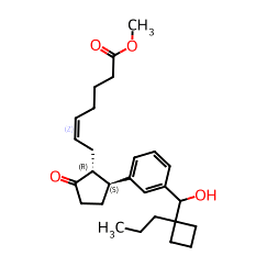 CCCC1(C(O)c2cccc([C@H]3CCC(=O)[C@@H]3C/C=C\CCCC(=O)OC)c2)CCC1